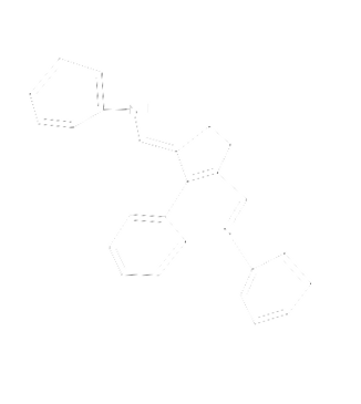 C(=N\c1ccccc1)/C1=C(c2ccccc2)C(=C/Nc2ccccc2)/CC1